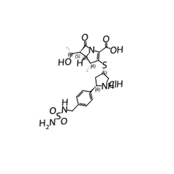 C[C@@H](O)[C@H]1C(=O)N2C(C(=O)O)=C(S[C@@H]3CN[C@@H](c4ccc(CNS(N)(=O)=O)cc4)C3)[C@H](C)[C@H]12.Cl